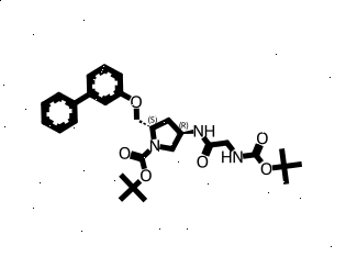 CC(C)(C)OC(=O)NCC(=O)N[C@@H]1C[C@@H](COc2cccc(-c3ccccc3)c2)N(C(=O)OC(C)(C)C)C1